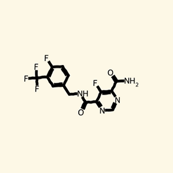 NC(=O)c1ncnc(C(=O)NCc2ccc(F)c(C(F)(F)F)c2)c1F